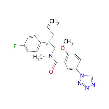 C=CC[C@H](CN(C)C(=O)c1cc(-n2cnnn2)ccc1OC)c1ccc(F)cc1